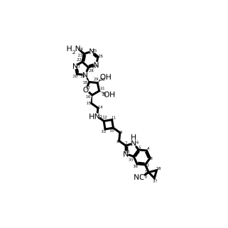 N#CC1(c2ccc3[nH]c(CCC4CC(NCC[C@H]5O[C@@H](n6cnc7c(N)ncnc76)[C@H](O)[C@@H]5O)C4)nc3c2)CC1